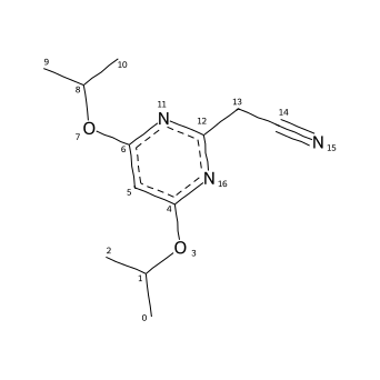 CC(C)Oc1cc(OC(C)C)nc(CC#N)n1